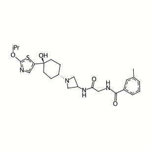 Cc1cccc(C(=O)NCC(=O)NC2CN([C@H]3CC[C@@](O)(c4cnc(OC(C)C)s4)CC3)C2)c1